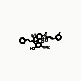 CC(=O)Oc1cc(O)c2c3c1O[C@H]1[C@H](N(C)C(=O)C=Cc4cccc(C)c4)CC[C@H]4[C@@H](C2)N(CCc2ccccc2)CC[C@@]341